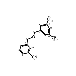 N#Cc1cccc(COCc2cc(C(F)(F)F)cc(C(F)(F)F)c2)n1